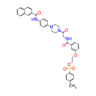 Cc1ccc(S(=O)(=O)OCCOc2cccc(C(=O)NCC(=O)N3CCN(c4ccc(NC(=O)c5ccc6ccccc6c5)cc4)CC3)c2)cc1